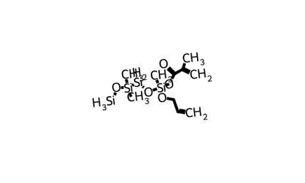 C=CCO[Si](C)(O[SiH2][Si](C)(C)O[SiH3])OC(=O)C(=C)C